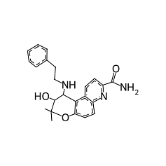 CC1(C)Oc2ccc3nc(C(N)=O)ccc3c2C(NCCc2ccccc2)C1O